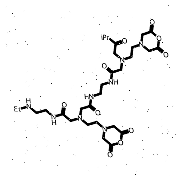 CCNCCNC(=O)CN(CCN1CC(=O)OC(=O)C1)CC(=O)NCCNC(=O)CN(CCN1CC(=O)OC(=O)C1)CC(=O)C(C)C